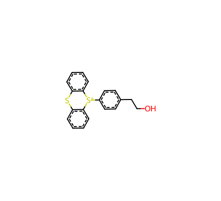 OCCc1ccc([S+]2c3ccccc3Sc3ccccc32)cc1